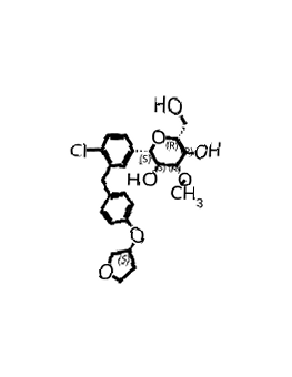 CO[C@@H]1[C@@H](O)[C@H](c2ccc(Cl)c(Cc3ccc(O[C@H]4CCOC4)cc3)c2)O[C@H](CO)[C@H]1O